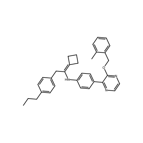 CCCc1ccc(CC(Nc2ccc(-c3nccnc3OCc3ccccc3C)cc2)=C2CCC2)cc1